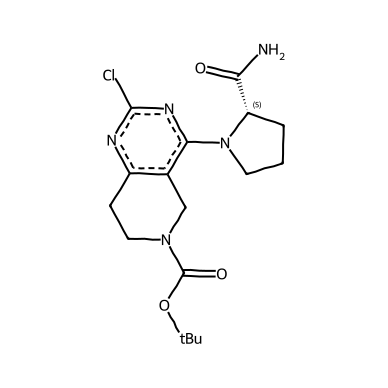 CC(C)(C)OC(=O)N1CCc2nc(Cl)nc(N3CCC[C@H]3C(N)=O)c2C1